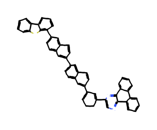 C1=C(c2ccc3cc(-c4ccc5cc(-c6cccc7c6sc6ccccc67)ccc5c4)ccc3c2)C=C(c2cnc3c4ccccc4c4ccccc4c3n2)CC1